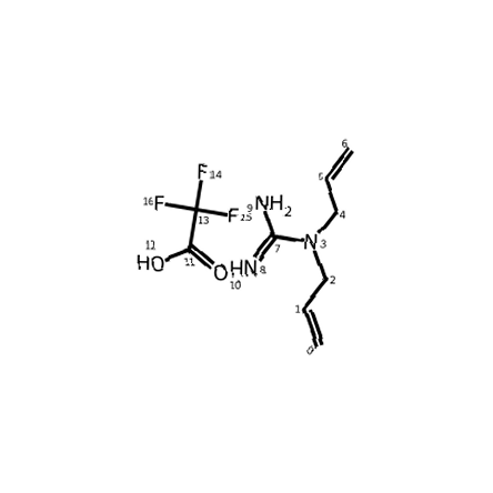 C=CCN(CC=C)C(=N)N.O=C(O)C(F)(F)F